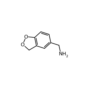 NCc1ccc2c(c1)COO2